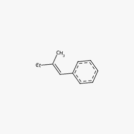 C[C]C(C)=Cc1ccccc1